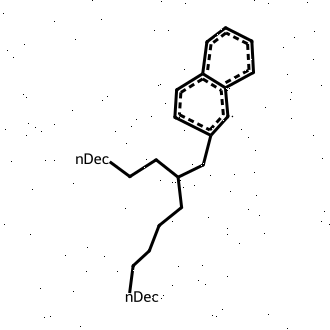 CCCCCCCCCCCCCCC(CCCCCCCCCCCC)Cc1[c]c2ccccc2cc1